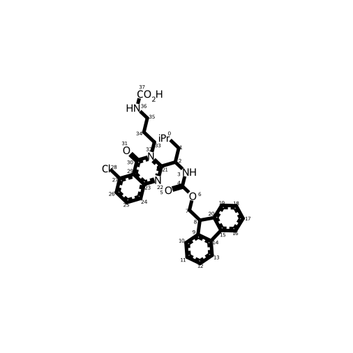 CC(C)CC(NC(=O)OCC1c2ccccc2-c2ccccc21)c1nc2cccc(Cl)c2c(=O)n1CCCNC(=O)O